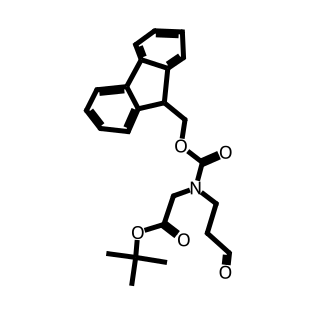 CC(C)(C)OC(=O)CN(CCC=O)C(=O)OCC1c2ccccc2-c2ccccc21